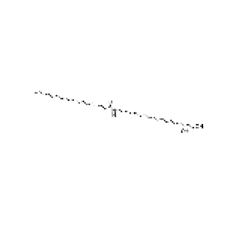 CCCCCCCCCCCCCCCCCC(=O)NCCCCCCCCCCCCCCCC(O)CCO